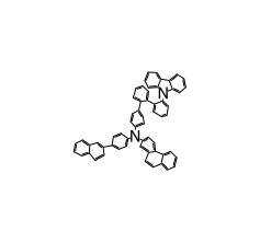 c1ccc(-c2ccccc2-n2c3ccccc3c3ccccc32)c(-c2ccc(N(c3ccc(-c4ccc5ccccc5c4)cc3)c3ccc4c(ccc5ccccc54)c3)cc2)c1